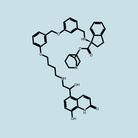 O=C(OC1CN2CCC1CC2)[C@@]1(NCc2cccc(OCc3cccc(OCCCCNCC(O)c4ccc(O)c5[nH]c(=O)ccc45)c3)c2)CCc2ccccc21